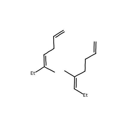 C=CCC=C(C)CC.C=CCCC(C)=CCC